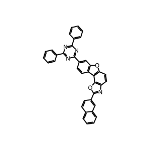 c1ccc(-c2nc(-c3ccccc3)nc(-c3ccc4c(c3)oc3ccc5nc(-c6ccc7ccccc7c6)oc5c34)n2)cc1